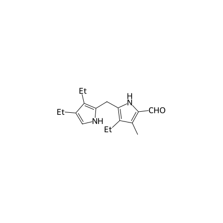 CCc1c[nH]c(Cc2[nH]c(C=O)c(C)c2CC)c1CC